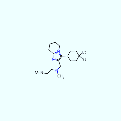 CCC1(CC)CCC(c2c(CN(C)CCNC)nc3n2CCCC3)CC1